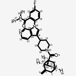 C=C1C[C@@H]2CC[C@H]1[C@@H](C(=O)N1CCC(c3cn(-c4ccc(F)cc4C(=O)N(C(C)C)C(C)C)c4cnccc34)CC1)N2